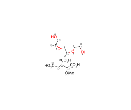 CC(O)COC(C)COC(C)CO.COC(C(=O)O)C(CC(=O)O)C(=O)O